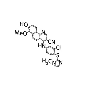 COc1c(O)ccc2c1ccc1c(Nc3ccc(Sc4nccn4C)c(Cl)c3)c(C#N)cnc12